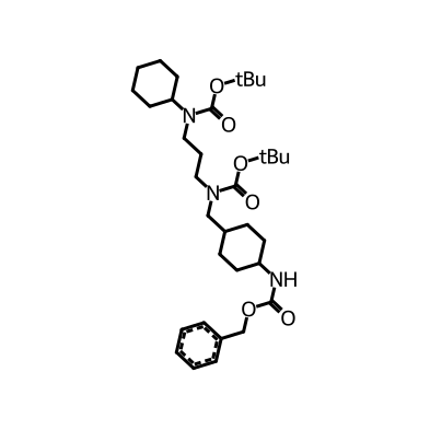 CC(C)(C)OC(=O)N(CCCN(C(=O)OC(C)(C)C)C1CCCCC1)CC1CCC(NC(=O)OCc2ccccc2)CC1